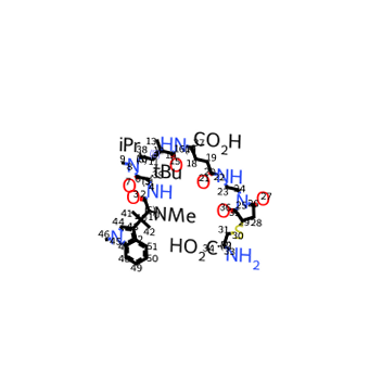 CN[C@H](C(=O)N[C@H](C(=O)N(C)[C@H](/C=C(\C)C(=O)N[C@H](CCC(=O)NCCN1C(=O)CC(SC[C@H](N)C(=O)O)C1=O)C(=O)O)C(C)C)C(C)(C)C)C(C)(C)c1cn(C)c2ccccc12